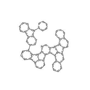 c1ccc(-n2c3ccccc3c3cc(-c4cccc5c6cccc7c8c9c%10c%11ccccc%11cc%11c%12ccc%13ccccc%13c%12n(c9cnc8n(c45)c67)c%11%10)ccc32)cc1